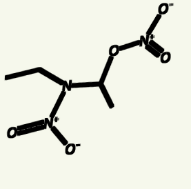 CCN(C(C)O[N+](=O)[O-])[N+](=O)[O-]